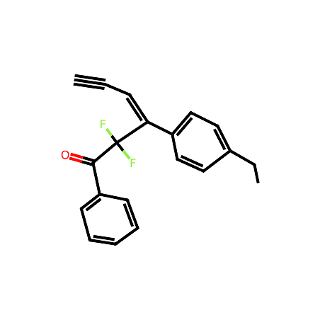 C#CC=C(c1ccc(CC)cc1)C(F)(F)C(=O)c1ccccc1